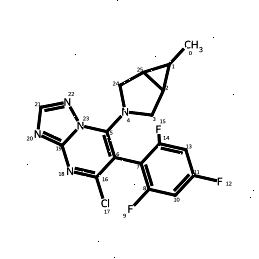 CC1C2CN(c3c(-c4c(F)cc(F)cc4F)c(Cl)nc4ncnn34)CC12